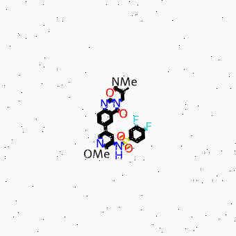 CNC(=O)[C@@H](C)Cn1cnc2ccc(-c3cnc(OC)c(NS(=O)(=O)c4ccc(F)c(F)c4)c3)cc2c1=O